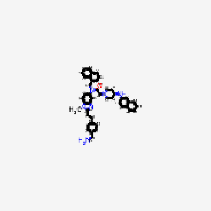 Cn1c(CCc2ccc(CN)cc2)nc2cc(N(Cc3cccc4ccccc34)C(=O)CN3CCC(Nc4ccc5ccccc5c4)CC3)ccc21